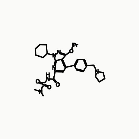 CC(C)Oc1nn(C2CCCCC2)c2nc(C(=O)NS(=O)(=O)N(C)C)cc(-c3ccc(CN4CCCC4)cc3)c12